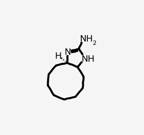 NC1=N[C@@H]2CCCCCCCCC2N1